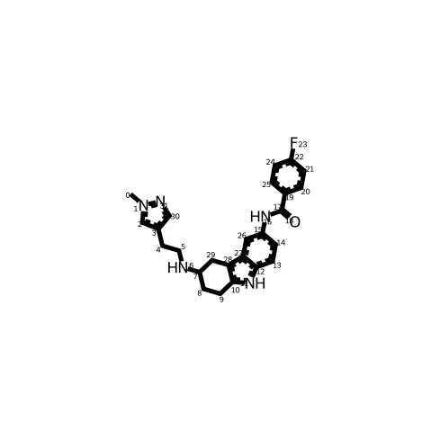 Cn1cc(CCNC2CCc3[nH]c4ccc(NC(=O)c5ccc(F)cc5)cc4c3C2)cn1